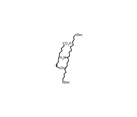 CCCCCCCC/C=C\CCCCCCCC(=O)O.CCCCCCCCCCCCCCCCCCC(N)CCCCCCCCCCCCCCCCCC